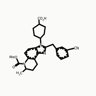 COC(=O)N1c2ccc3c(nc(Cc4cccc(C#N)c4)n3C3CCC(C(=O)O)CC3)c2CCC1C